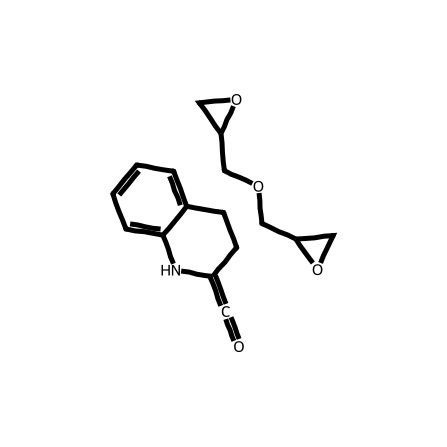 C(OCC1CO1)C1CO1.O=C=C1CCc2ccccc2N1